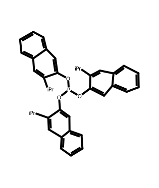 CC(C)c1cc2ccccc2cc1OP(Oc1cc2ccccc2cc1C(C)C)Oc1cc2ccccc2cc1C(C)C